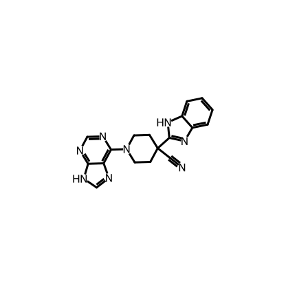 N#CC1(c2nc3ccccc3[nH]2)CCN(c2ncnc3[nH]cnc23)CC1